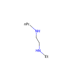 CCCNCCNCC